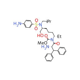 CC[C@@H](CCC[C@@H](CO)N(CC(C)C)S(=O)(=O)c1ccc(N)cc1)N(C(=O)OC)C(=O)[C@@H](N)C(c1ccccc1)c1ccccc1